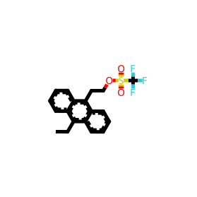 CCc1c2ccccc2c(CCOS(=O)(=O)C(F)(F)F)c2ccccc12